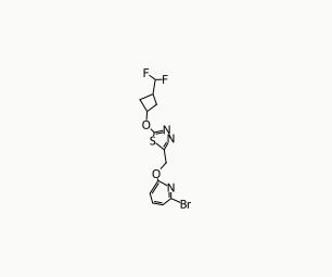 FC(F)C1CC(Oc2nnc(COc3cccc(Br)n3)s2)C1